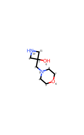 OC1(CN2CCOCC2)CNC1